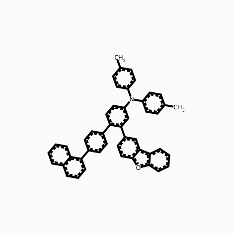 Cc1ccc(N(c2ccc(C)cc2)c2ccc(-c3ccc(-c4cccc5ccccc45)cc3)c(-c3ccc4oc5ccccc5c4c3)c2)cc1